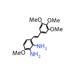 COc1ccc(C=Cc2cc(OC)c(OC)c(OC)c2)c(N)c1N